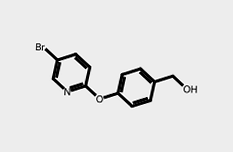 OCc1ccc(Oc2ccc(Br)cn2)cc1